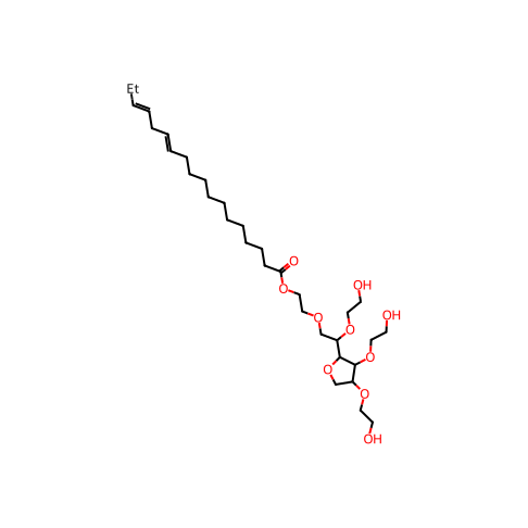 CC/C=C/C/C=C/CCCCCCCCCCC(=O)OCCOCC(OCCO)C1OCC(OCCO)C1OCCO